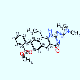 CCCc1[nH]c(/N=C/N(C)C)nc(=O)c1Cc1ccc(-c2ccccc2C(=O)OC)cc1